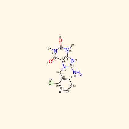 Cn1c(=O)c2c(nc(N)n2Cc2ccccc2Cl)n(C)c1=O